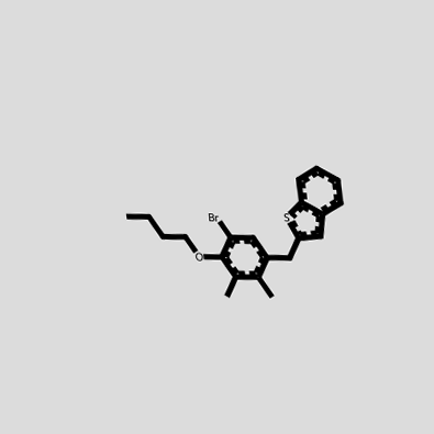 CCCCOc1c(Br)cc(Cc2cc3ccccc3s2)c(C)c1C